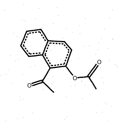 CC(=O)Oc1ccc2ccccc2c1C(C)=O